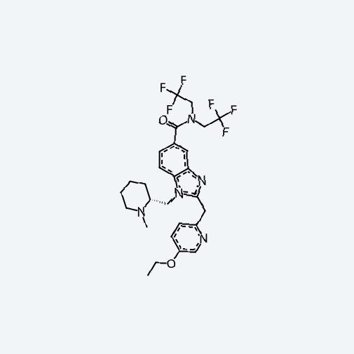 CCOc1ccc(Cc2nc3cc(C(=O)N(CC(F)(F)F)CC(F)(F)F)ccc3n2C[C@H]2CCCCN2C)nc1